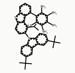 Bc1c(B)c(B)c(-c2cccc3sc4ccc(-n5c6ccc(C(C)(C)C)cc6c6cc(C(C)(C)C)ccc65)c(C(C)C)c4c23)c(B)c1B